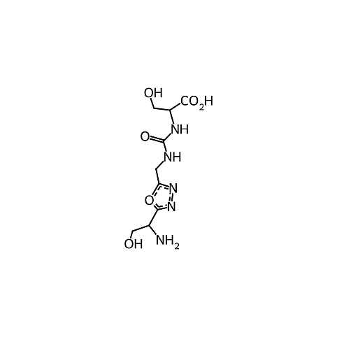 NC(CO)c1nnc(CNC(=O)NC(CO)C(=O)O)o1